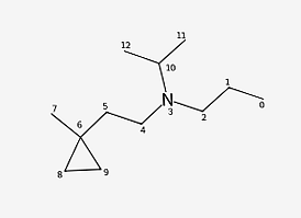 CCCN(CCC1(C)CC1)C(C)C